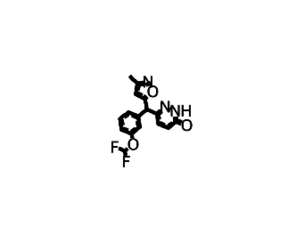 Cc1cc(C(c2cccc(OC(F)F)c2)c2ccc(=O)[nH]n2)on1